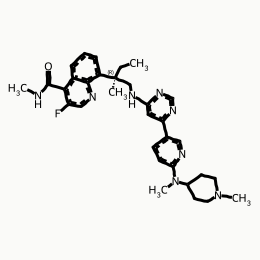 CC[C@@](C)(CNc1cc(-c2ccc(N(C)C3CCN(C)CC3)nc2)ncn1)c1cccc2c(C(=O)NC)c(F)cnc12